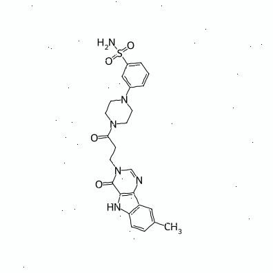 Cc1ccc2[nH]c3c(=O)n(CCC(=O)N4CCN(c5cccc(S(N)(=O)=O)c5)CC4)cnc3c2c1